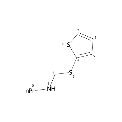 CCCNCSc1cccs1